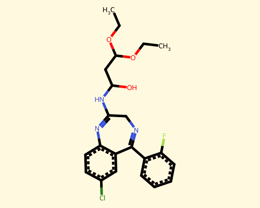 CCOC(CC(O)NC1=Nc2ccc(Cl)cc2C(c2ccccc2F)=NC1)OCC